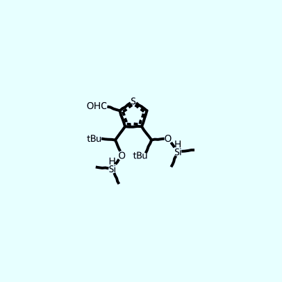 C[SiH](C)OC(c1csc(C=O)c1C(O[SiH](C)C)C(C)(C)C)C(C)(C)C